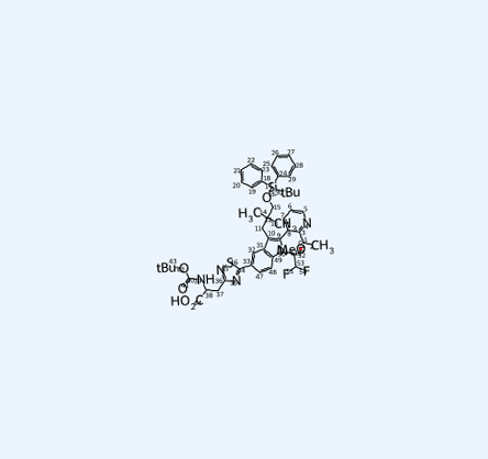 CO[C@@H](C)c1ncccc1-c1c(CC(C)(C)CO[Si](c2ccccc2)(c2ccccc2)C(C)(C)C)c2cc(-c3nc(CC(NC(=O)OC(C)(C)C)C(=O)O)ns3)ccc2n1C(F)C(F)F